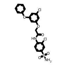 NS(=O)(=O)c1ccc(NC(=O)COc2cc(Cl)cc(Oc3ccccc3)c2)c(Cl)c1